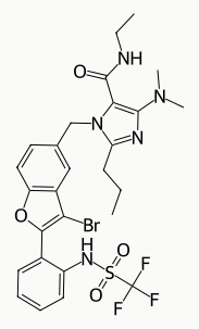 CCCc1nc(N(C)C)c(C(=O)NCC)n1Cc1ccc2oc(-c3ccccc3NS(=O)(=O)C(F)(F)F)c(Br)c2c1